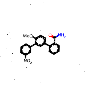 COc1ccc(-c2ccccc2C(N)=O)cc1-c1cccc([N+](=O)[O-])c1